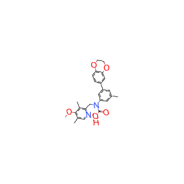 COc1c(C)cnc(CN(C(=O)O)c2cc(C)cc(-c3ccc4c(c3)OCCO4)c2)c1C